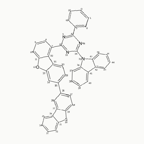 c1ccc(-c2nc(-c3cccc4oc5cc(-c6ccc7sc8ccccc8c7c6)ccc5c34)nc(-n3c4ccccc4c4ccccc43)n2)cc1